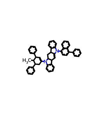 CC1C(c2ccccc2)C=C(N2c3ccccc3C3C=C4C(CC32)c2ccccc2N4c2ccc(-c3ccccc3)c3ccccc23)CC1c1ccccc1